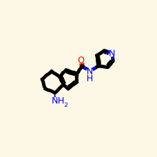 N[C@@H]1CCCc2cc(C(=O)Nc3ccncc3)ccc21